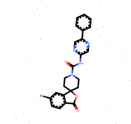 CCc1ccc2c(c1)C1(CCN(C(=O)Nc3cnc(-c4ccccc4)cn3)CC1)OC2=O